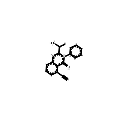 C#Cc1cccc2nc(C(C)N)n(-c3ccccc3)c(=O)c12